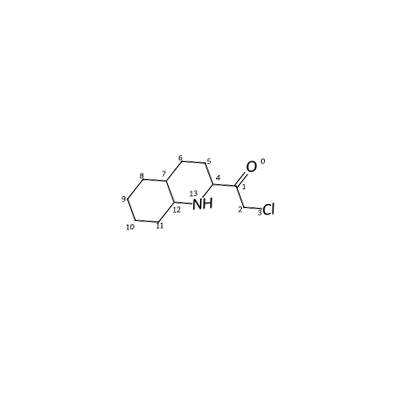 O=C(CCl)C1CCC2CCCCC2N1